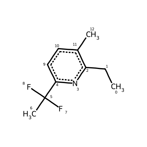 CCc1nc(C(C)(F)F)ccc1C